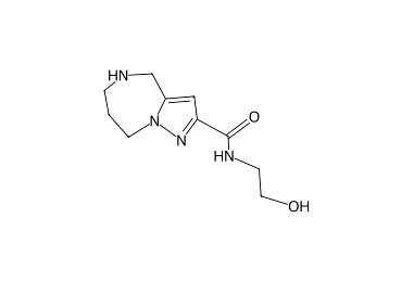 O=C(NCCO)c1cc2n(n1)CCCNC2